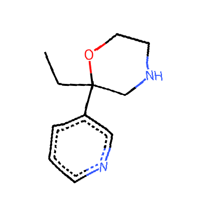 CCC1(c2cccnc2)CNCCO1